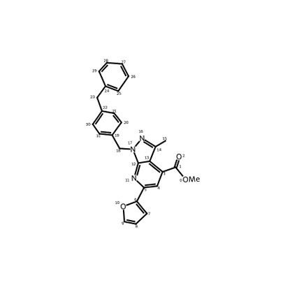 COC(=O)c1cc(-c2ccco2)nc2c1c(C)nn2Cc1ccc(Cc2ccccc2)cc1